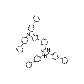 c1ccc(-c2ccc(-c3nc(-c4ccc(-c5ccccc5)cc4)nc(-c4cccc(-c5cc6c7cc(-c8ccccc8)ccc7n7c8ccc(-c9ccccc9)cc8c(c5)c67)c4)n3)cc2)cc1